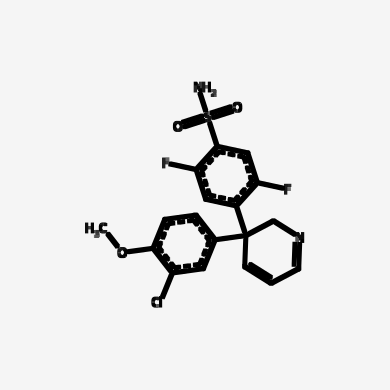 COc1ccc(C2(c3cc(F)c(S(N)(=O)=O)cc3F)C=CC=NC2)cc1Cl